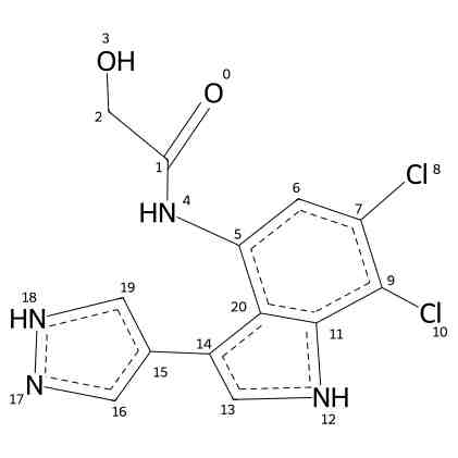 O=C(CO)Nc1cc(Cl)c(Cl)c2[nH]cc(-c3cn[nH]c3)c12